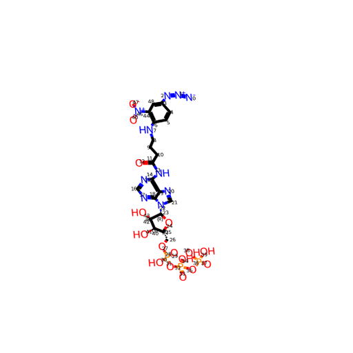 [N-]=[N+]=Nc1ccc(NCCCC(=O)Nc2ncnc3c2ncn3[C@@H]2O[C@H](COP(=O)(O)OP(=O)(O)OP(=O)(O)O)[C@@H](O)[C@H]2O)c([N+](=O)[O-])c1